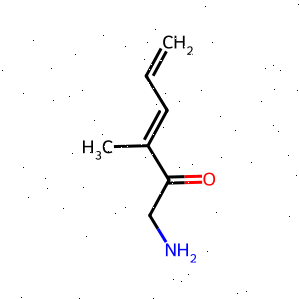 C=C/C=C(\C)C(=O)CN